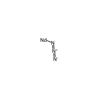 [N-]=[N+]=[N][Nd]